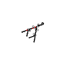 C=CCCCCCC(CCCCCC=C)OC(=O)CCCCC(=O)OCC(COC(=O)CCCCC(=O)OC(CCCCCC=C)CCCCCC=C)COC(=O)CCCN1CCCC1